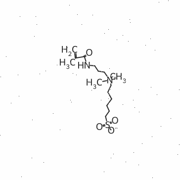 C=C(C)C(=O)NCCC[N+](C)(C)CCCCCCS(=O)(=O)[O-]